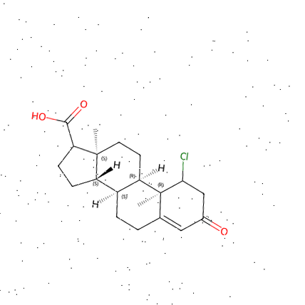 C[C@]12CC[C@@H]3[C@@H](CCC4=CC(=O)CC(Cl)[C@@]43C)[C@@H]1CCC2C(=O)O